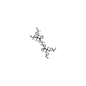 CCOCC(C)(COCC)C(=O)OCCOC(=O)C(C)(COCC)OCC